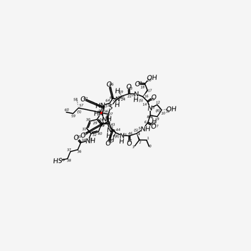 CCC(C)[C@@H]1NC(=O)[C@@H]2C[C@@H](O)CN2C(=O)[C@H](CC(=O)O)NC(=O)[C@@H]2CSc3[nH]c4ccc(NC(=O)CCCS)cc4c3C[C@@H](NC1=O)C(=O)NCC(=O)NC[C@@H]([C@@H](C)CC)C(=O)NCC(=O)N2